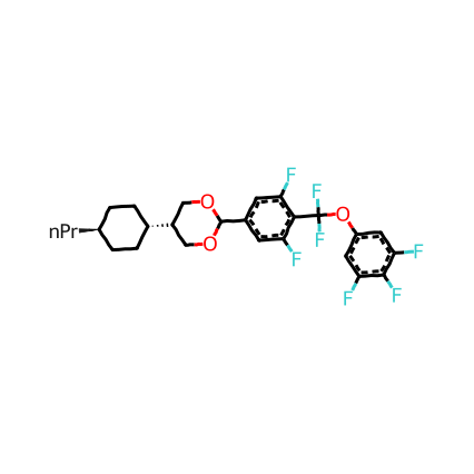 CCC[C@H]1CC[C@H](C2COC(c3cc(F)c(C(F)(F)Oc4cc(F)c(F)c(F)c4)c(F)c3)OC2)CC1